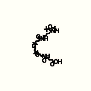 CC(C)(C)N[C@@H](CCCCNC(=O)CCC(C)(C)OCCC(C)(C)OCCNC(=O)CCCC(=O)O)C(=O)C(C)(C)C